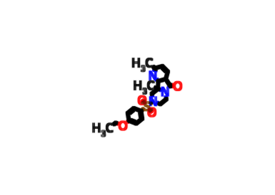 CCOc1ccc(S(=O)(=O)N2CCN3C(=O)C4C=CC(C)=NC4C3(C)C2)cc1